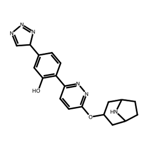 Oc1cc(C2C=NN=N2)ccc1-c1ccc(OC2CC3CCC(C2)N3)nn1